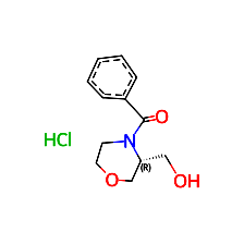 Cl.O=C(c1ccccc1)N1CCOC[C@H]1CO